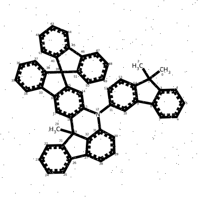 CC1(C)c2ccccc2-c2cc(N3c4cc5c(cc4C4(C)c6ccccc6-c6cccc3c64)-c3ccccc3C53c4ccccc4-c4ccccc43)ccc21